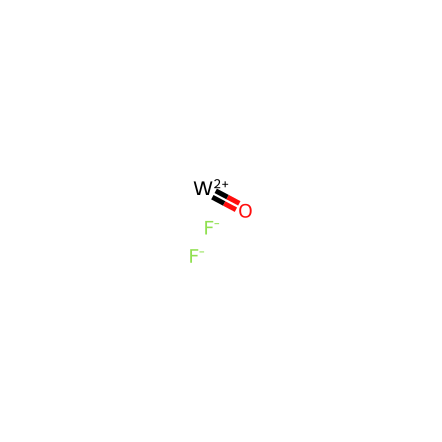 [F-].[F-].[O]=[W+2]